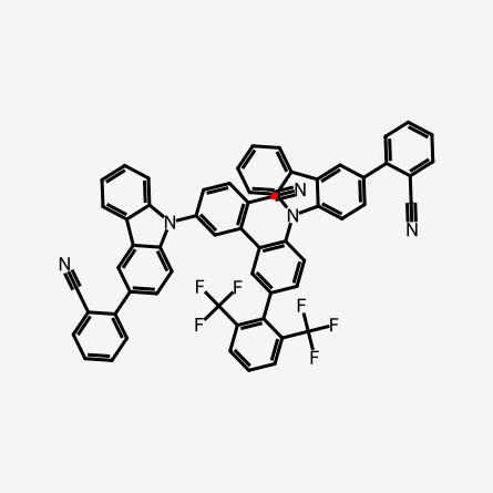 N#Cc1ccccc1-c1ccc2c(c1)c1ccccc1n2-c1ccc(C#N)c(-c2cc(-c3c(C(F)(F)F)cccc3C(F)(F)F)ccc2-n2c3ccccc3c3cc(-c4ccccc4C#N)ccc32)c1